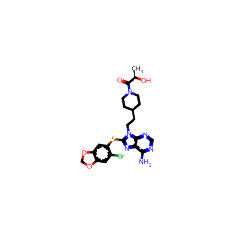 C[C@@H](O)C(=O)N1CCC(CCn2c(Sc3cc4c(cc3Br)OCO4)nc3c(N)ncnc32)CC1